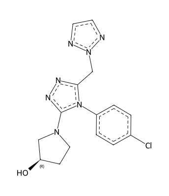 O[C@@H]1CCN(c2nnc(Cn3nccn3)n2-c2ccc(Cl)cc2)C1